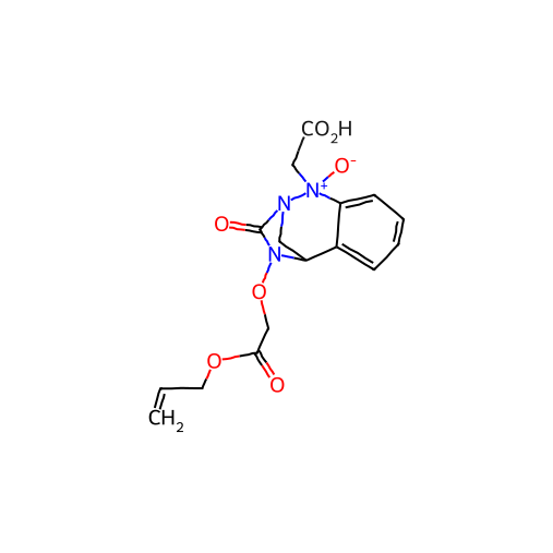 C=CCOC(=O)CON1C(=O)N2CC1c1ccccc1[N+]2([O-])CC(=O)O